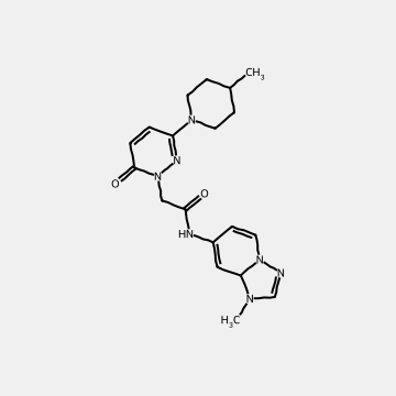 CC1CCN(c2ccc(=O)n(CC(=O)NC3=CC4N(C)C=NN4C=C3)n2)CC1